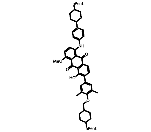 CCCCCC1CCC(COc2c(C)cc(-c3ccc4c(c3O)C(=O)c3c(OC)ccc(Nc5ccc(C6CCC(CCCCC)CC6)cc5)c3C4=O)cc2C)CC1